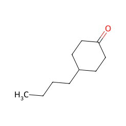 CCCCC1CCC(=O)CC1